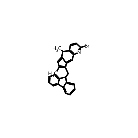 CC1=C(CC2c3ccccc3-c3ccccc32)C2=Cc3nc(Br)ccc3C(C)C2=C1